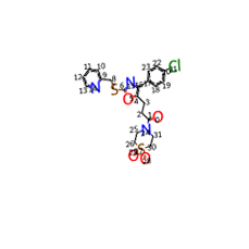 O=C(CCc1oc(SCc2ccccn2)nc1-c1ccc(Cl)cc1)N1CCS(=O)(=O)CC1